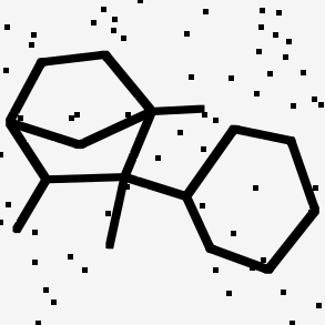 CC1C2CCC(C)(C2)C1(C)C1CCCCC1